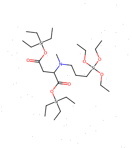 CCO[Si](CCCN(C)C(CC(=O)O[Si](CC)(CC)CC)C(=O)O[Si](CC)(CC)CC)(OCC)OCC